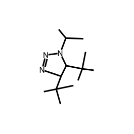 CC(C)N1N=NC(C(C)(C)C)C1C(C)(C)C